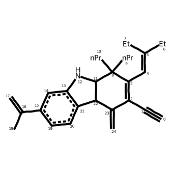 C#CC1=C(C=C(CC)CC)C(CCC)(CCC)C2Nc3cc(C(=C)C)ccc3C2C1=C